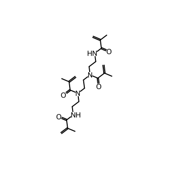 C=C(C)C(=O)NCCN(CCN(CCNC(=O)C(=C)C)C(=O)C(=C)C)C(=O)C(=C)C